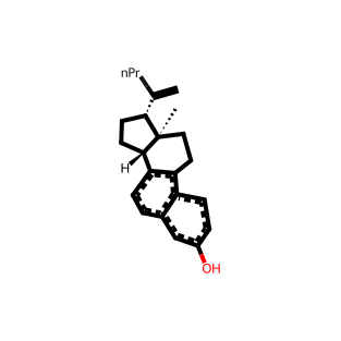 C=C(CCC)[C@H]1CC[C@H]2c3ccc4cc(O)ccc4c3CC[C@]12C